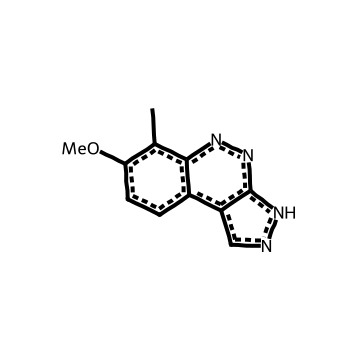 COc1ccc2c(nnc3[nH]ncc32)c1C